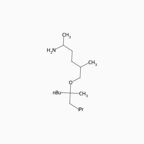 CCCCC(C)(CC(C)C)OCC(C)CCC(C)N